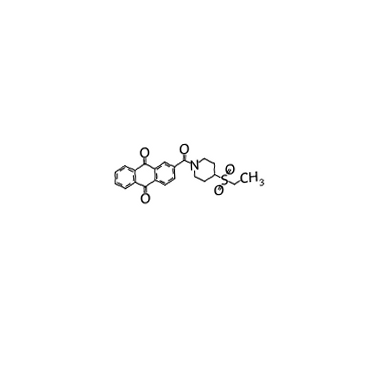 CCS(=O)(=O)C1CCN(C(=O)c2ccc3c(c2)C(=O)c2ccccc2C3=O)CC1